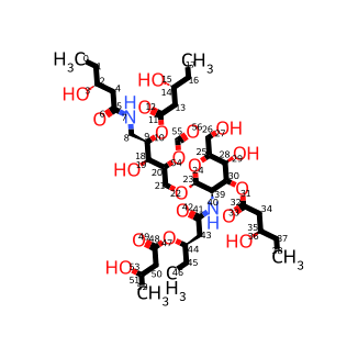 CC[C@@H](O)CC(=O)NC[C@@H](OC(=O)C[C@H](O)CC)[C@H](O)C(CO[C@@H]1OC(CO)[C@@H](O)C(OC(=O)C[C@H](O)CC)[C@@H]1NC(=O)C[C@@H](CC)OC(=O)CC(C)O)OC=O